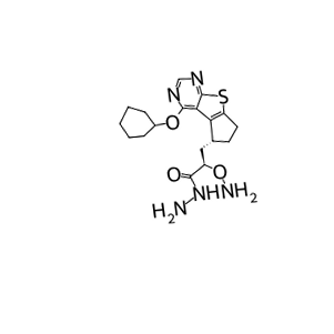 NNC(=O)[C@@H](C[C@H]1CCc2sc3ncnc(OC4CCCCC4)c3c21)ON